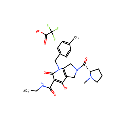 CN1CCC[C@H]1C(=O)N1Cc2c(O)c(C(=O)NCC(=O)O)c(=O)n(Cc3ccc(C(F)(F)F)cc3)c2C1.O=C(O)C(F)(F)F